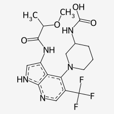 COC(C)C(=O)Nc1c[nH]c2ncc(C(F)(F)F)c(N3CCCC(NC(=O)O)C3)c12